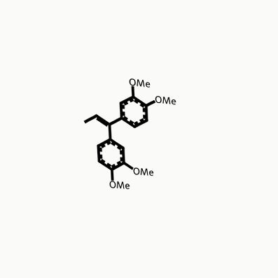 CC=C(c1ccc(OC)c(OC)c1)c1ccc(OC)c(OC)c1